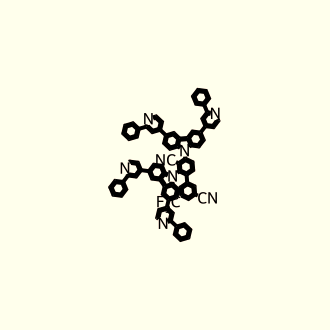 N#Cc1cc(-c2ccc(-n3c4ccc(-c5ccnc(-c6ccccc6)c5)cc4c4cc(-c5ccnc(-c6ccccc6)c5)ccc43)c(C#N)c2-n2c3ccc(-c4ccnc(-c5ccccc5)c4)cc3c3cc(-c4ccnc(-c5ccccc5)c4)ccc32)cc(C(F)(F)F)c1